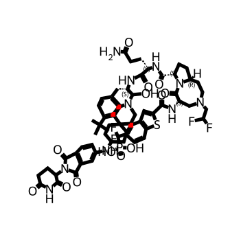 CC(C)(C)c1ccc(C[C@H](NC(=O)[C@H](CCC(N)=O)NC(=O)[C@@H]2CC[C@@H]3CCN(CC(F)F)C[C@H](NC(=O)c4cc5cc(C(F)(F)P(=O)(O)O)ccc5s4)C(=O)N32)C(O)N2CCC3(CCC(Nc4ccc5c(c4)C(=O)N(C4CCC(=O)NC4=O)C5=O)CC3)CC2)cc1